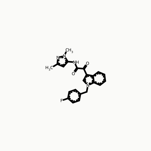 Cc1cc(NC(=O)C(=O)c2cn(Cc3ccc(F)cc3)c3ccccc23)n(C)n1